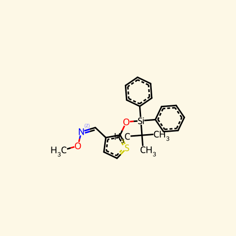 CO/N=C\c1ccsc1O[Si](c1ccccc1)(c1ccccc1)C(C)(C)C